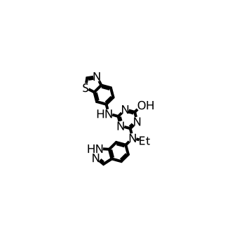 CCN(c1ccc2cn[nH]c2c1)c1nc(O)nc(Nc2ccc3ncsc3c2)n1